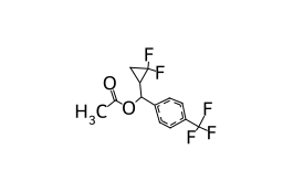 CC(=O)OC(c1ccc(C(F)(F)F)cc1)C1CC1(F)F